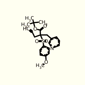 C#CCC(Cc1cccnc1)(C(=O)OC(C)(C)C)S(=O)(=O)c1ccc(OC)cc1